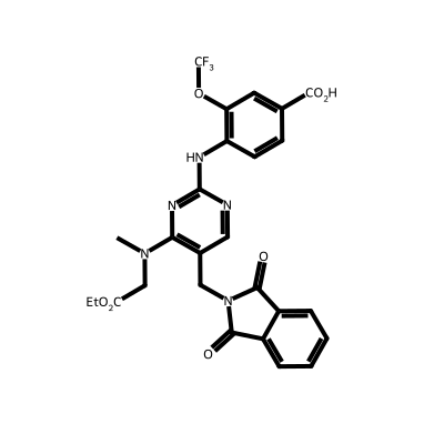 CCOC(=O)CN(C)c1nc(Nc2ccc(C(=O)O)cc2OC(F)(F)F)ncc1CN1C(=O)c2ccccc2C1=O